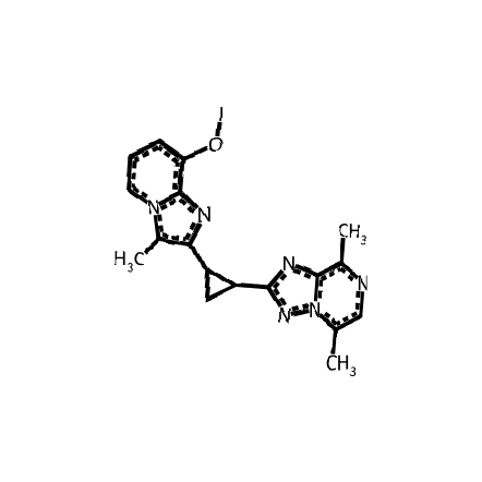 Cc1ncc(C)n2nc(C3CC3c3nc4c(OI)cccn4c3C)nc12